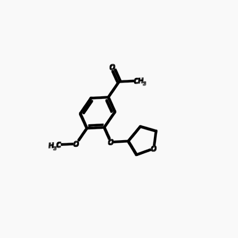 COc1ccc(C(C)=O)cc1OC1CCOC1